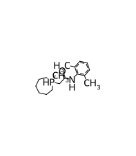 Cc1cccc(C)c1NC(=O)C[PH]1(C)CCCCCC1